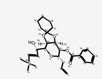 C=CC[C@@H]1O[C@@H]([C@@H](O)/C=C/[Si](C)(C)C)[C@H]2OC3(CCCCC3)O[C@H]2[C@H]1OC(=O)c1ccccc1